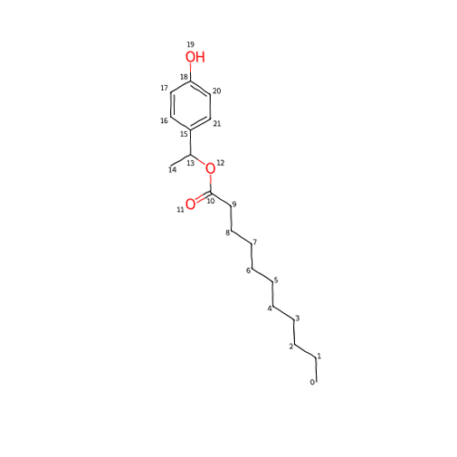 CCCCCCCCCCC(=O)OC(C)c1ccc(O)cc1